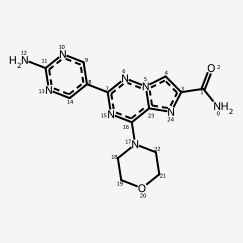 NC(=O)c1cn2nc(-c3cnc(N)nc3)nc(N3CCOCC3)c2n1